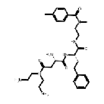 Cc1ccc(C(=O)N(C)CCNC(=O)[C@H](CCc2ccccc2)NC(=O)[C@@H](N)CC(=O)N(CCN)CCN)cc1